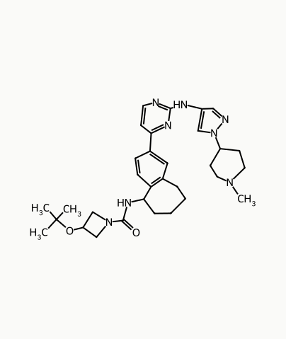 CN1CCC(n2cc(Nc3nccc(-c4ccc5c(c4)CCCCC5NC(=O)N4CC(OC(C)(C)C)C4)n3)cn2)CC1